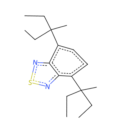 CCC(C)(CC)c1ccc(C(C)(CC)CC)c2nsnc12